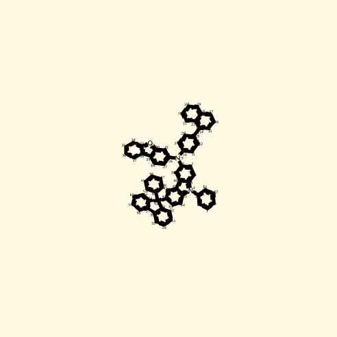 c1ccc(-n2c3ccc(N(c4ccc(-c5cccc6ccccc56)cc4)c4ccc5c(c4)oc4ccccc45)cc3c3cc(C4(c5ccccc5)c5ccccc5-c5ccccc54)ccc32)cc1